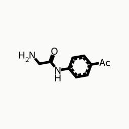 CC(=O)c1ccc(NC(=O)CN)cc1